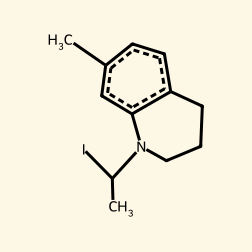 Cc1ccc2c(c1)N(C(C)I)CCC2